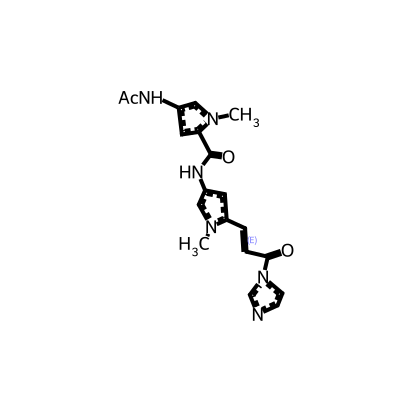 CC(=O)Nc1cc(C(=O)Nc2cc(/C=C/C(=O)n3ccnc3)n(C)c2)n(C)c1